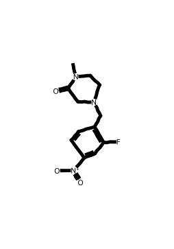 CN1CCN(Cc2ccc([N+](=O)[O-])cc2F)CC1=O